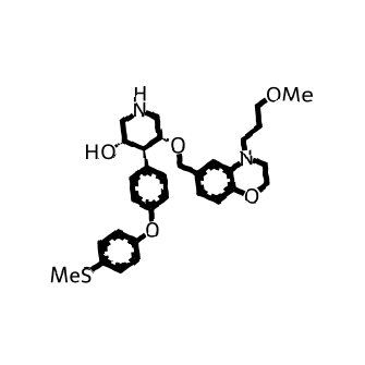 COCCCN1CCOc2ccc(CO[C@H]3CNC[C@@H](O)[C@@H]3c3ccc(Oc4ccc(SC)cc4)cc3)cc21